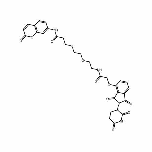 O=C(COc1cccc2c1C(=O)N(C1CCC(=O)NC1=O)C2=O)NCCOCCOCCC(=O)Nc1ccc2ccc(=O)oc2c1